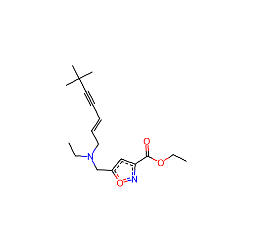 CCOC(=O)c1cc(CN(CC)CC=CC#CC(C)(C)C)on1